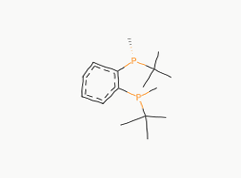 CP(c1ccccc1[P@](C)C(C)(C)C)C(C)(C)C